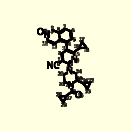 N#Cc1cc(-c2cccc3c[n+]([O-])ccc23)c(C2CC2)nc1N1CCN(C(=O)C2CC2)C(C2CC2)C1